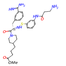 COC(=O)CCCC1CCN(C(=O)[C@H](Cc2cccc(C(=N)N)c2)NSc2cccc(NC(=O)CCN)c2)CC1